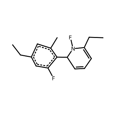 CCC1=CC=CC(c2c(C)cc(CC)cc2F)N1F